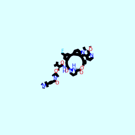 CCn1c(-c2cccnc2[C@H](C)OC)c2c3cc(ccc31)-c1cc(CF)cc(c1)C[C@H](NC(=O)[C@@H](COC1CN(C(=O)C#CC(C)(C)N(C)C)C1)C(C)C)C(=O)N1CCC[C@H](N1)C(=O)OCC(C)(C)C2